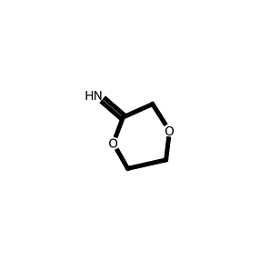 N=C1COCCO1